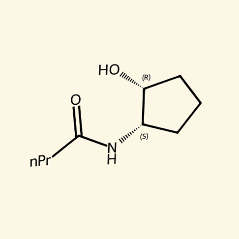 CCCC(=O)N[C@H]1CCC[C@H]1O